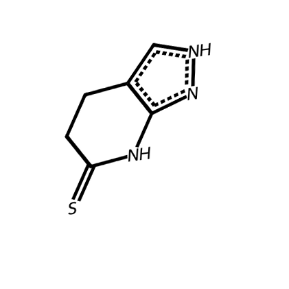 S=C1CCc2c[nH]nc2N1